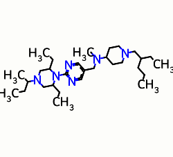 CCCC(CC)CN1CCC(N(C)Cc2cnc(N3C(CC)CN(C(C)CC)CC3CC)nc2)CC1